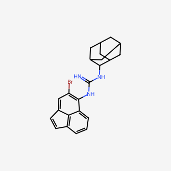 N=C(Nc1c(Br)cc2c3c(cccc13)C=C2)NC1C2CC3CC(C2)CC1C3